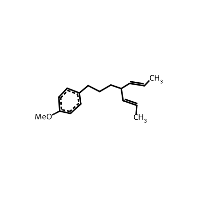 C/C=C/C(/C=C/C)CCCc1ccc(OC)cc1